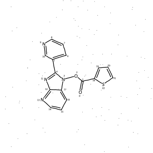 O=C(On1c(-c2cccnc2)nc2ncccc21)c1cccs1